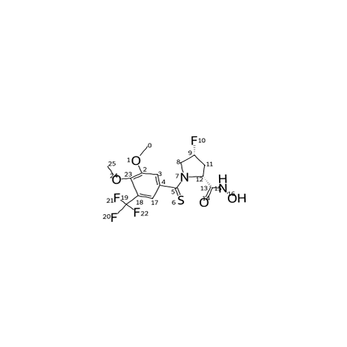 COc1cc(C(=S)N2C[C@H](F)C[C@@H]2C(=O)NO)cc(C(F)(F)F)c1OC